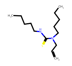 C=CCN(CCCCC)C(=S)NCCCCC